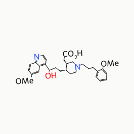 COc1ccc2nccc(C(O)CC[C@@H]3CCN(CCCc4ccccc4OC)C[C@@H]3CC(=O)O)c2c1